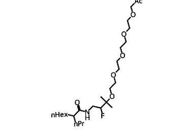 CCCCCCC(CCC)C(=O)NCC(F)C(C)(C)OCCOCCOCCOCCOCC(C)=O